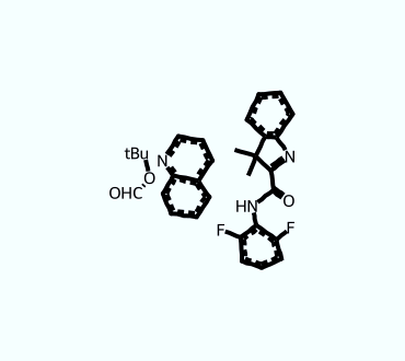 CC(C)(C)OC=O.CC1(C)C(C(=O)Nc2c(F)cccc2F)=Nc2ccccc21.c1ccc2ncccc2c1